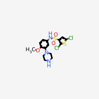 COc1ccc(NS(=O)(=O)c2cc(Cl)sc2Cl)cc1N1CCNCC1